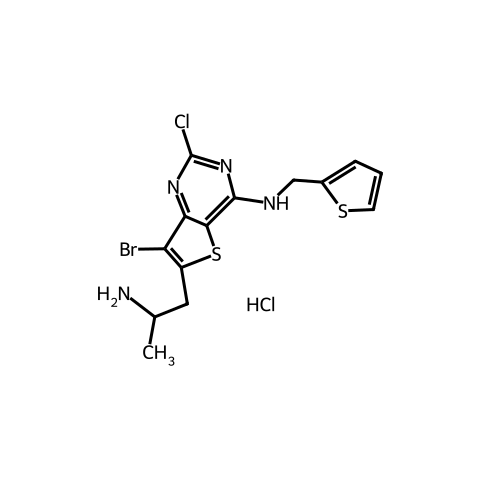 CC(N)Cc1sc2c(NCc3cccs3)nc(Cl)nc2c1Br.Cl